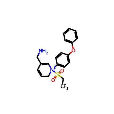 NCC1=C[N+](c2ccc(Oc3ccccc3)cc2)(S(=O)(=O)CC(F)(F)F)CC=C1